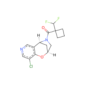 O=C(N1C[C@@H]2C[C@H]1c1cncc(Cl)c1O2)C1(C(F)F)CCC1